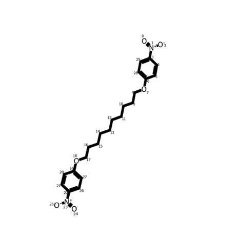 O=[N+]([O-])c1ccc(OCCCCCCCCCCOc2ccc([N+](=O)[O-])cc2)cc1